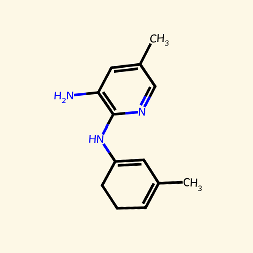 CC1=CCCC(Nc2ncc(C)cc2N)=C1